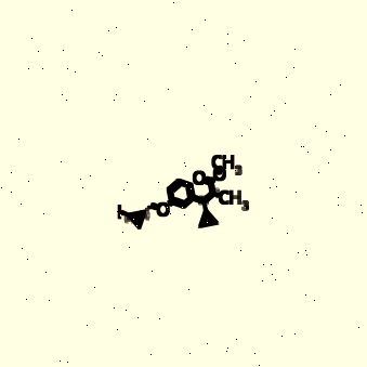 COC(=O)[C@@H](C)[C@H](c1cccc(OC[C@@H]2C[C@H]2I)c1)C1CC1